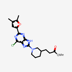 COC(=O)CCC1CCCN(c2nc3c(Cl)nc(-c4cc(C)c(C)o4)nc3[nH]2)C1